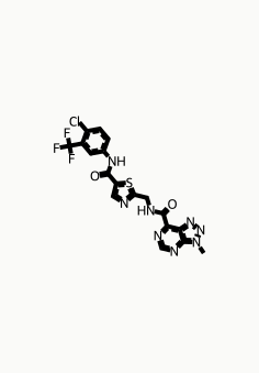 Cn1nnc2c(C(=O)NCc3ncc(C(=O)Nc4ccc(Cl)c(C(F)(F)F)c4)s3)ncnc21